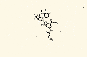 COc1c([C@H]2[C@H](c3nc4c(C(N)=O)nc(NC(=O)CCN)cc4[nH]3)O[C@@](C)(C(F)(F)F)[C@H]2C)ccc(F)c1F